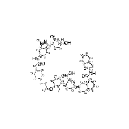 Cc1c(O[C@@H](C)CCC2CCN(CC(=O)Nc3ccc4c(C5CCC(O)NC5=O)nn(C)c4c3)CC2)cccc1-c1ccc(N2CCc3cccc(C(=O)Nc4nc5ccccc5s4)c3C2)nc1C(=O)O